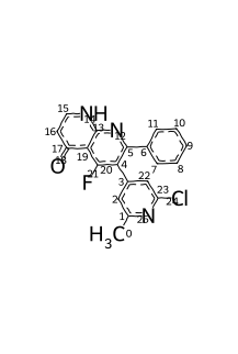 Cc1cc(-c2c(-c3ccccc3)nc3[nH]ccc(=O)c3c2F)cc(Cl)n1